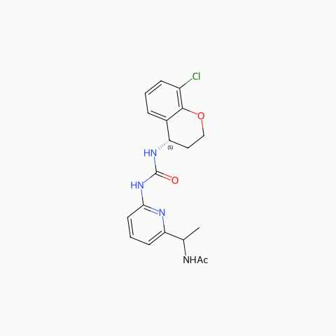 CC(=O)NC(C)c1cccc(NC(=O)N[C@H]2CCOc3c(Cl)cccc32)n1